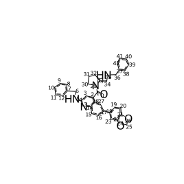 O=C(c1cc(NCc2ccccc2)nc2ccc(-c3ccc4c(c3)OCO4)cc12)N1CCC[C@H]1CNCc1ccccc1